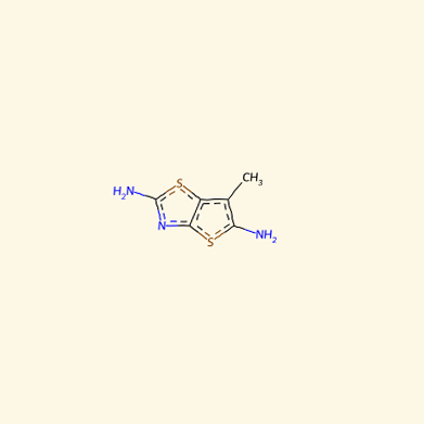 Cc1c(N)sc2nc(N)sc12